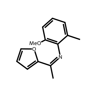 COc1cccc(C)c1/N=C(/C)c1ccco1